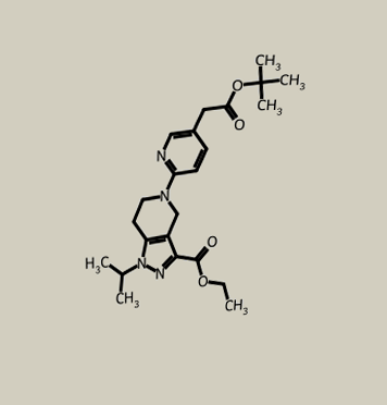 CCOC(=O)c1nn(C(C)C)c2c1CN(c1ccc(CC(=O)OC(C)(C)C)cn1)CC2